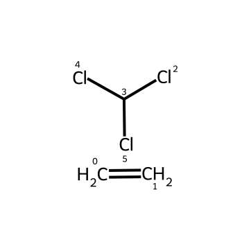 C=C.ClC(Cl)Cl